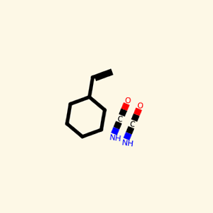 C=CC1CCCCC1.N=C=O.N=C=O